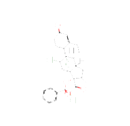 CC1C[C@H]2[C@@H]3CCC4=CC(=O)CC[C@]4(C)[C@@]3(Cl)C(Cl)C[C@]2(C)[C@@]1(OC(=O)c1ccccc1)C(=O)CCl